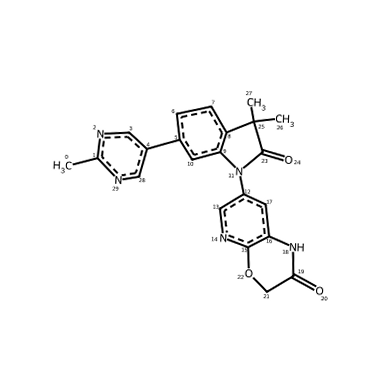 Cc1ncc(-c2ccc3c(c2)N(c2cnc4c(c2)NC(=O)CO4)C(=O)C3(C)C)cn1